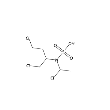 CC(Cl)N(C(CCl)CCCl)S(=O)(=O)O